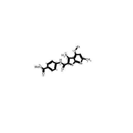 CCOc1cc(C)nc2sc(C(=O)Nc3ccc(C(=O)OC)cc3)c(N)c12